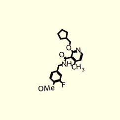 COc1ccc(CNC(=O)c2c(C)ccnc2OCC2CCCC2)cc1F